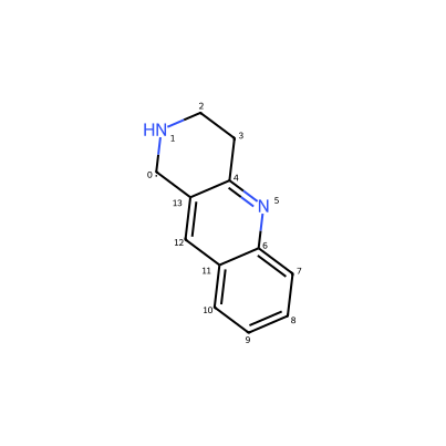 [CH]1NCCc2nc3ccccc3cc21